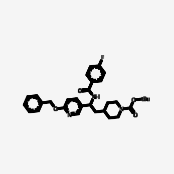 CC(C)(C)OC(=O)N1CCC(CC(NC(=O)c2ccc(F)cc2)c2ccc(OCc3ccccc3)nc2)CC1